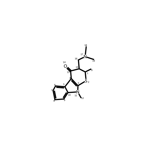 CC1Sc2c(c3ccccc3n2C)C(=O)C1CN(C)C